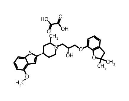 COc1cccc2sc([C@@H]3CCN(C[C@H](O)COc4cccc5c4OC(C)(C)C5)[C@H](C)C3)cc12.O=C(O)C(=O)O